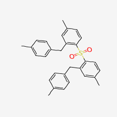 Cc1ccc(Cc2cc(C)ccc2S(=O)(=O)c2ccc(C)cc2Cc2ccc(C)cc2)cc1